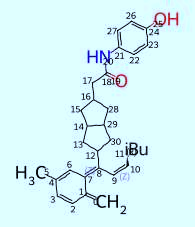 C=c1ccc(C)c/c1=C(/C=C\[C@H](C)CC)C1CC2CC(CC(=O)Nc3ccc(O)cc3)CC2C1